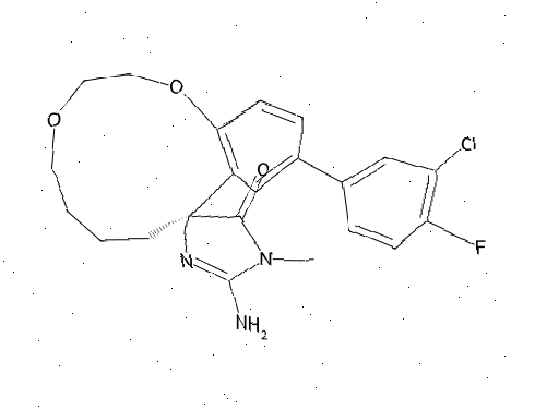 CN1C(=O)[C@@]2(CCCCOCCOc3ccc(-c4ccc(F)c(Cl)c4)cc32)N=C1N